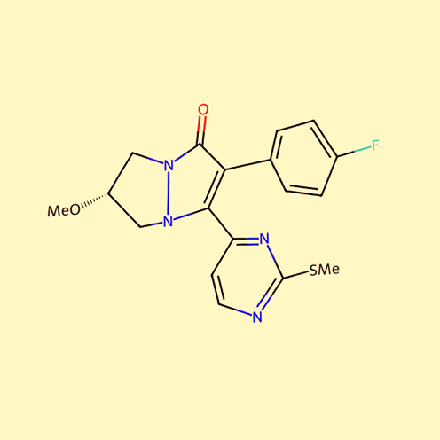 CO[C@H]1Cn2c(-c3ccnc(SC)n3)c(-c3ccc(F)cc3)c(=O)n2C1